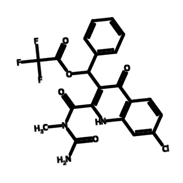 CN(C(N)=O)C(=O)c1[nH]c2cc(Cl)ccc2c(=O)c1C(OC(=O)C(F)(F)F)c1ccccc1